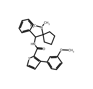 COc1cccc(-c2ccsc2C(=O)NC(c2ccccc2)C2(N(C)C)CCCC2)c1